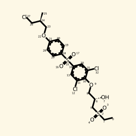 CCS(=O)(=O)C[C@@H](O)COc1c(Cl)cc(S(=O)(=O)c2ccc(OC[C@H](C)CCl)cc2)cc1Cl